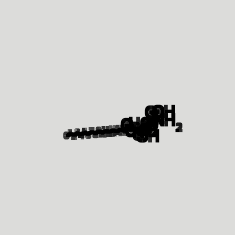 CCCCCCCCCCCCCCCCCC(=O)OC[C@H](COP(=O)(O)OC[C@H](N)C(=O)O)OO